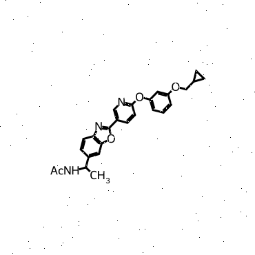 CC(=O)NC(C)c1ccc2nc(-c3ccc(Oc4cccc(OCC5CC5)c4)nc3)oc2c1